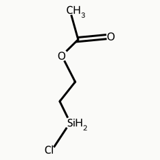 CC(=O)OCC[SiH2]Cl